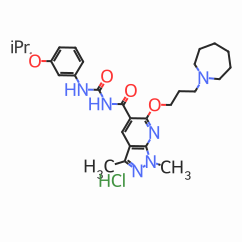 Cc1nn(C)c2nc(OCCCN3CCCCCC3)c(C(=O)NC(=O)Nc3cccc(OC(C)C)c3)cc12.Cl